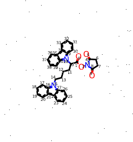 O=C(ON1C(=O)CCC1=O)C(CCCCn1c2ccccc2c2ccccc21)n1c2ccccc2c2ccccc21